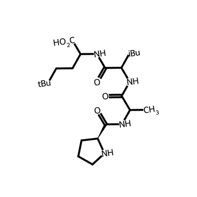 CCC(C)C(NC(=O)C(C)NC(=O)[C@@H]1CCCN1)C(=O)NC(CCC(C)(C)C)C(=O)O